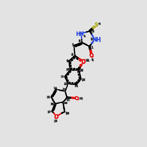 O=C1NC(=S)NC1=Cc1cc2cc(C3C=CC4=COCC4C3=O)ccc2o1